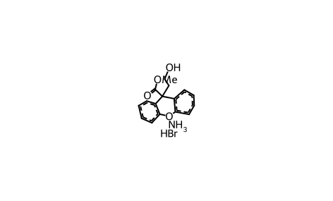 Br.COC(=O)C1(CCO)c2ccccc2Oc2ccccc21.N